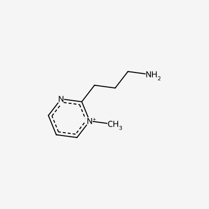 C[n+]1cccnc1CCCN